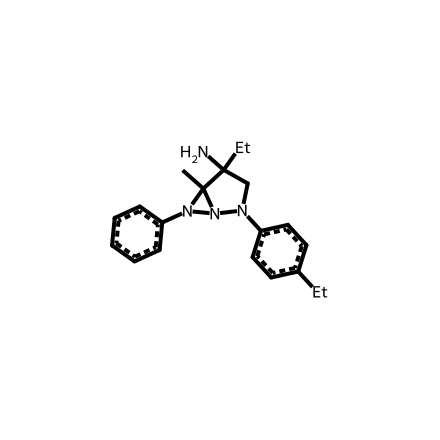 CCc1ccc(N2CC(N)(CC)C3(C)N(c4ccccc4)N23)cc1